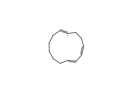 [C]1=C/CCCCC/C=C/C=C\CC/1